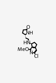 COc1nc(Cl)cc2c1[C@@H](NCC[C@@H]1CCC(=O)N1)CC2